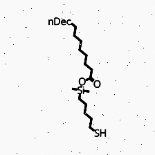 CCCCCCCCCCCCCCCCCC(=O)O[Si](C)(C)CCCCCS